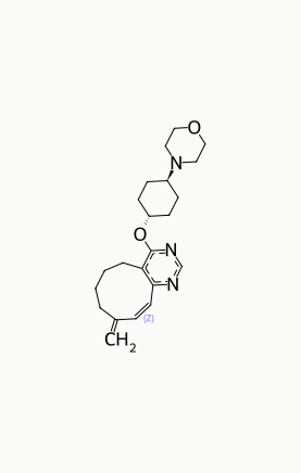 C=C1/C=C\c2ncnc(O[C@H]3CC[C@H](N4CCOCC4)CC3)c2CCCC1